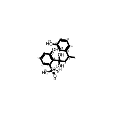 CC(CC(O)(O)c1c(O)cccc1P(=O)(O)O)c1cccc(O)c1